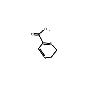 CC(=O)C1=NCCN=C1